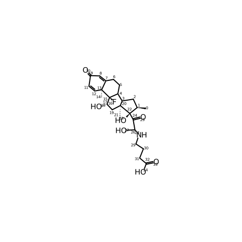 C[C@@H]1CC2C3CCC4=CC(=O)C=C[C@]4(C)[C@@]3(F)[C@@H](O)C[C@]2(C)[C@@]1(O)C(=O)C(O)NCCCC(=O)O